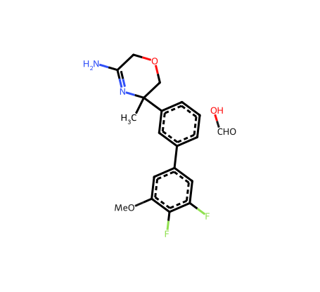 COc1cc(-c2cccc(C3(C)COCC(N)=N3)c2)cc(F)c1F.O=CO